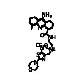 Cc1cccc2c(N)c3cccc(C(=O)NCC[N+](C)(C)Cc4nc(N5CCOCC5)sc4[N+](=O)[O-])c3nc12